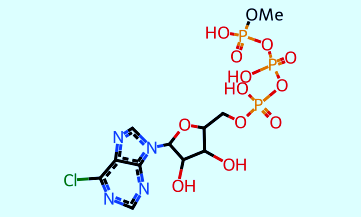 COP(=O)(O)OP(=O)(O)OP(=O)(O)OCC1OC(n2cnc3c(Cl)ncnc32)C(O)C1O